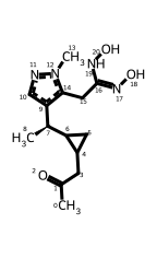 CC(=O)CC1CC1[C@@H](C)c1cnn(C)c1C/C(=N/O)NO